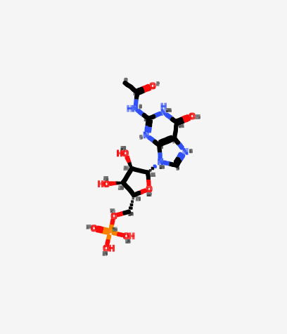 CC(=O)Nc1nc2c(ncn2[C@@H]2O[C@H](COP(=O)(O)O)[C@@H](O)[C@H]2O)c(=O)[nH]1